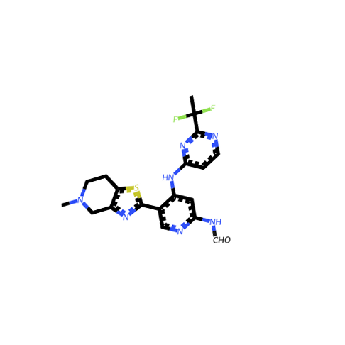 CN1CCc2sc(-c3cnc(NC=O)cc3Nc3ccnc(C(C)(F)F)n3)nc2C1